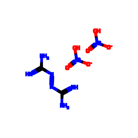 N=C(N)N=NC(=N)N.O=[N+]([O-])O.O=[N+]([O-])O